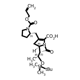 C=CCOC(=O)N1CCC[C@H]1CC1=C(C(=O)O)N2C(=O)[C@H]([C@@H](C)O[Si](C)(C)C(C)(C)C)[C@H]2C1